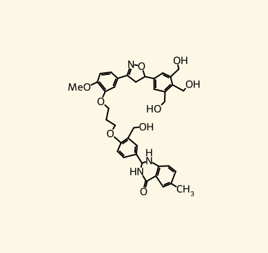 COc1ccc(C2=NOC(c3cc(CO)c(CO)c(CO)c3)C2)cc1OCCCOc1ccc(C2NC(=O)c3cc(C)ccc3N2)cc1CO